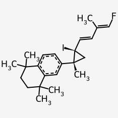 CC(/C=C/[C@]1(I)C[C@]1(C)c1ccc2c(c1)C(C)(C)CCC2(C)C)=C\F